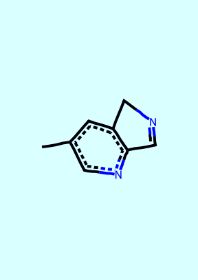 Cc1cnc2c(c1)CN=C2